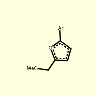 COCc1ccc(C(C)=O)o1